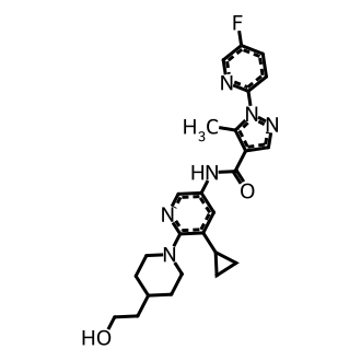 Cc1c(C(=O)Nc2cnc(N3CCC(CCO)CC3)c(C3CC3)c2)cnn1-c1ccc(F)cn1